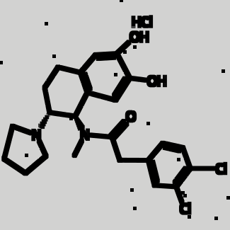 CN(C(=O)Cc1ccc(Cl)c(Cl)c1)[C@@H]1c2cc(O)c(O)cc2CC[C@H]1N1CCCC1.Cl